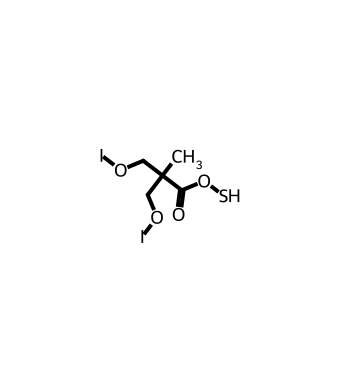 CC(COI)(COI)C(=O)OS